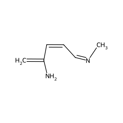 C=C(N)/C=C\C=N/C